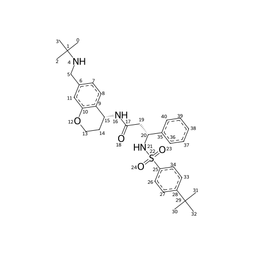 CC(C)(C)NCc1ccc2c(c1)OCC[C@H]2NC(=O)C[C@@H](NS(=O)(=O)c1ccc(C(C)(C)C)cc1)c1ccccc1